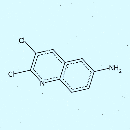 Nc1ccc2nc(Cl)c(Cl)cc2c1